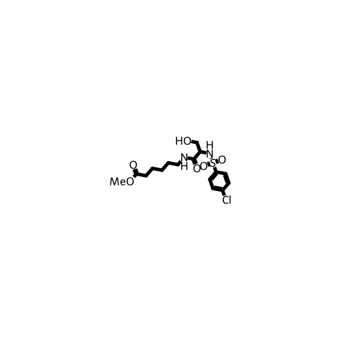 COC(=O)CCCCCNC(=O)C(CO)NS(=O)(=O)c1ccc(Cl)cc1